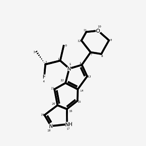 CC([C@@H](C)F)n1c(C2CCOCC2)cc2cc3[nH]ncc3cc21